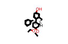 CCOC1(OCC)CC[C@@]2(Cc3ccccc3)c3ccc(O)cc3CC[C@@H]2C1